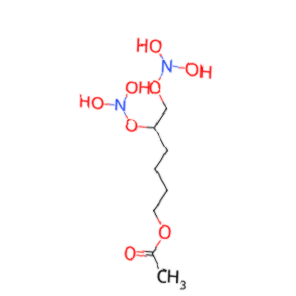 CC(=O)OCCCCC(CON(O)O)ON(O)O